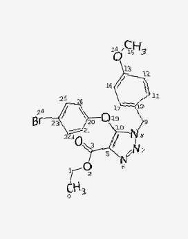 CCOC(=O)c1nnn(Cc2ccc(OC)cc2)c1Oc1ccc(Br)cc1